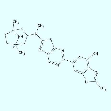 Cc1nc2c(C#N)cc(-c3ncc4nc(N(C)C5CC6(C)CC[C@](C)(C5)N6)sc4n3)cc2o1